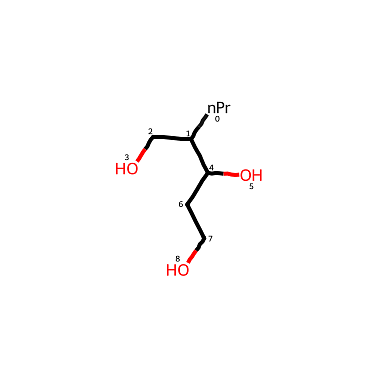 CCCC(CO)C(O)CCO